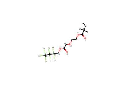 CCC(C)(C)C(=O)OCCOCC(=O)OCC(F)(F)C(F)(F)C(F)(F)F